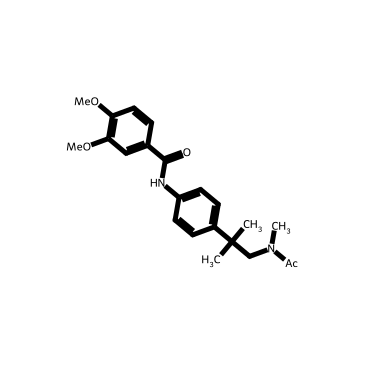 COc1ccc(C(=O)Nc2ccc(C(C)(C)CN(C)C(C)=O)cc2)cc1OC